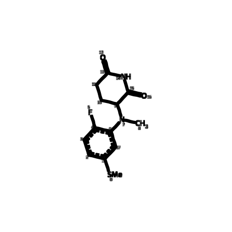 CSc1ccc(F)c(N(C)C2CCC(=O)NC2=O)c1